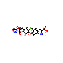 NC(Cc1ccc(Oc2ccc(/C=C3/OC(=O)NC3=O)cc2)c(F)c1)C(=O)O